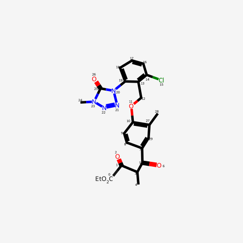 CCOC(=O)C(=O)C(C)C(=O)c1ccc(OCc2c(Cl)cccc2-n2nnn(C)c2=O)c(C)c1